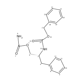 NC(=O)OC[C@@H](Cc1ccccc1)NC(=O)OCc1ccccc1